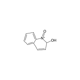 O=[N+]1c2ccccc2C=CC1O